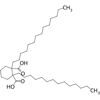 CCCCCCCCCCCCCCC1(C(=O)O)CCCCC1(CCCCCCCCCCCCCC)C(=O)O